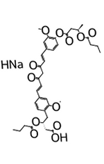 CCCC(=O)O[C@@H](CC(=O)O)Cc1ccc(/C=C/C(=O)CC(=O)/C=C/c2ccc(OC(=O)C[C@@H](C)OC(=O)CCC)c(OC)c2)cc1OC.[NaH]